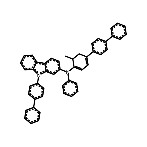 CC1CC(c2ccc(-c3ccccc3)cc2)=CC=C1N(c1ccccc1)c1ccc2c3ccccc3n(-c3ccc(-c4ccccc4)cc3)c2c1